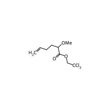 C=CCCC(OC)C(=O)OCC(Cl)(Cl)Cl